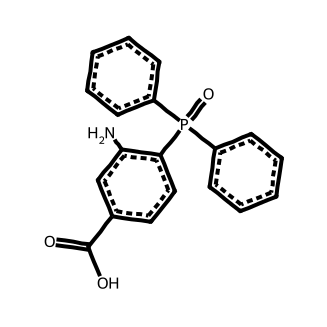 Nc1cc(C(=O)O)ccc1P(=O)(c1ccccc1)c1ccccc1